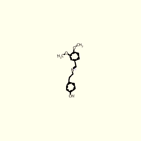 COc1ccc(/C=N/CCc2ccc(O)cc2)cc1OC